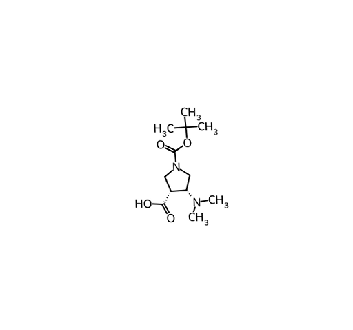 CN(C)[C@H]1CN(C(=O)OC(C)(C)C)C[C@H]1C(=O)O